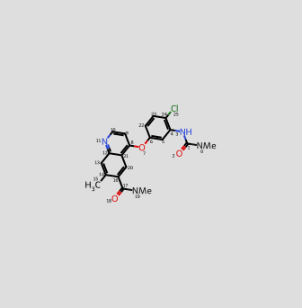 CNC(=O)Nc1cc(Oc2ccnc3cc(C)c(C(=O)NC)cc23)ccc1Cl